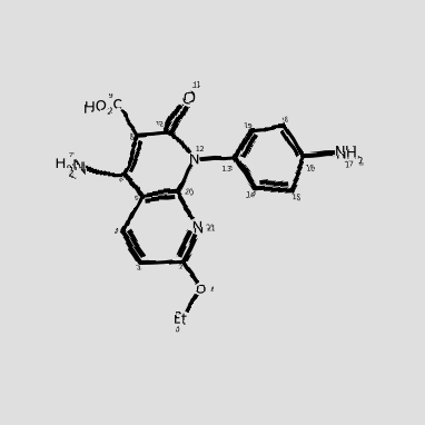 CCOc1ccc2c(N)c(C(=O)O)c(=O)n(-c3ccc(N)cc3)c2n1